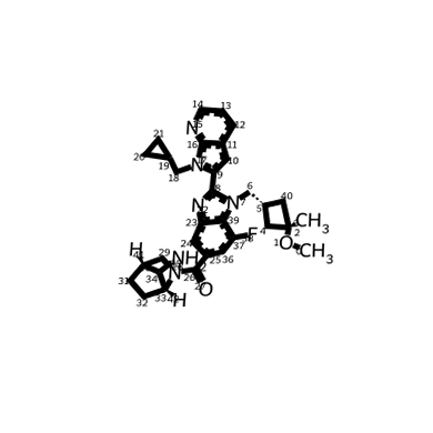 CO[C@]1(C)C[C@H](Cn2c(-c3cc4cccnc4n3CC3CC3)nc3cc(C(=O)N4C[C@H]5CC[C@@H]4C5N)cc(F)c32)C1